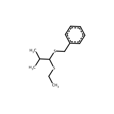 CCSC(SCc1ccccc1)C(C)C